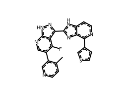 Cc1ccncc1-c1cnc2[nH]nc(-c3nc4c(-c5ccsc5)nccc4[nH]3)c2c1F